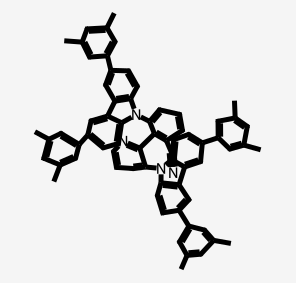 Cc1cc(C)cc(-c2ccc3c(c2)c2cc(-c4cc(C)cc(C)c4)ccc2n3-c2cccnc2-c2c(C#N)cccc2-n2c3ccc(-c4cc(C)cc(C)c4)cc3c3cc(-c4cc(C)cc(C)c4)ccc32)c1